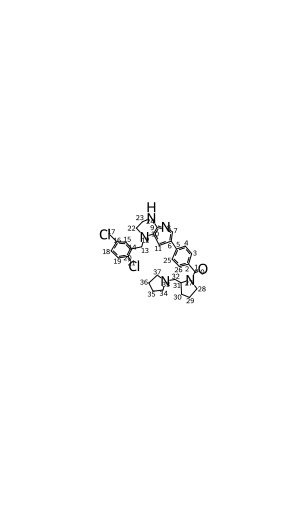 O=C(c1ccc(-c2cnc3c(c2)N(Cc2cc(Cl)ccc2Cl)CCN3)cc1)N1CCCC1CN1CCCC1